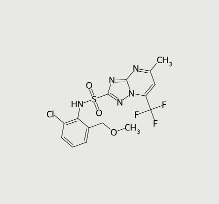 COCc1cccc(Cl)c1NS(=O)(=O)c1nc2nc(C)cc(C(F)(F)F)n2n1